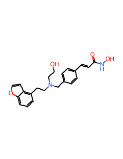 O=C(/C=C/c1ccc(CN(CCO)CCc2cccc3occc23)cc1)NO